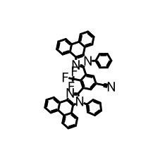 N#Cc1cc(-c2nc3c4ccccc4c4ccccc4c3n2-c2ccccc2)c(C(F)(F)F)c(-c2nc3c4ccccc4c4ccccc4c3n2-c2ccccc2)c1